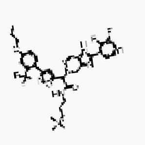 CCCOc1ccc(-c2cc(C(C(=O)NCCC[N+](C)(C)C)N3Cc4nc(-c5cccc(F)c5F)[nH]c4C=N3)on2)c(C(F)(F)F)c1.[Cl-]